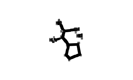 Cl.N[C@H](B(O)O)C1CCCC1